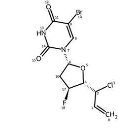 C=CC(Cl)[C@H]1O[C@@H](n2cc(Br)c(=O)[nH]c2=O)C[C@@H]1F